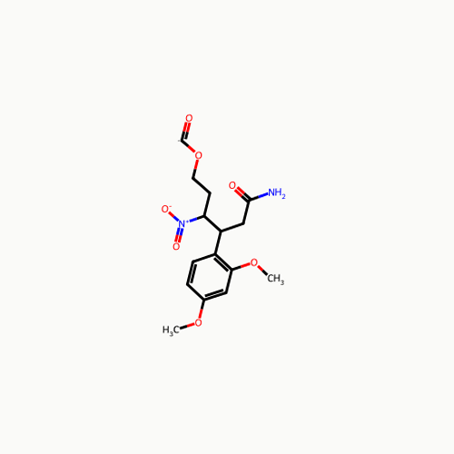 COc1ccc(C(CC(N)=O)C(CCO[C]=O)[N+](=O)[O-])c(OC)c1